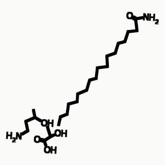 CC(O)C(=O)O.CC(O)CCN.CCCCCCCCCCCCCCCCCC(N)=O